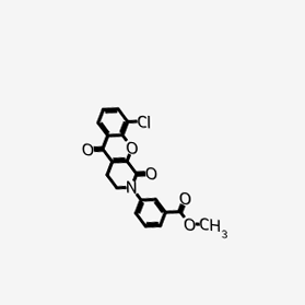 COC(=O)c1cccc(N2CCc3c(oc4c(Cl)cccc4c3=O)C2=O)c1